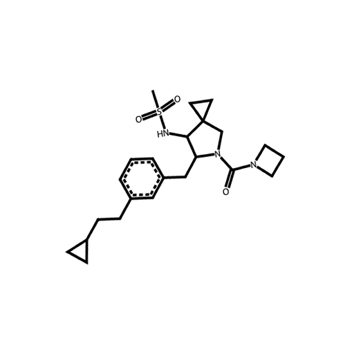 CS(=O)(=O)NC1C(Cc2cccc(CCC3CC3)c2)N(C(=O)N2CCC2)CC12CC2